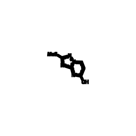 CSc1nc2nc(O)ccn2n1